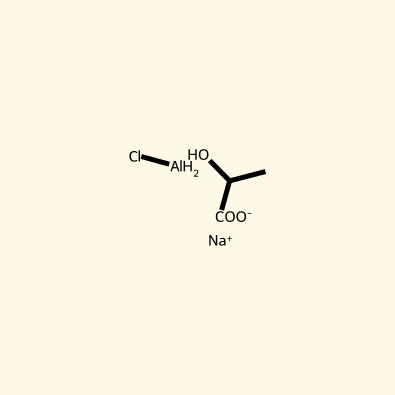 CC(O)C(=O)[O-].[AlH2][Cl].[Na+]